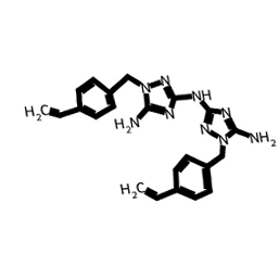 C=Cc1ccc(Cn2nc(Nc3nc(N)n(Cc4ccc(C=C)cc4)n3)nc2N)cc1